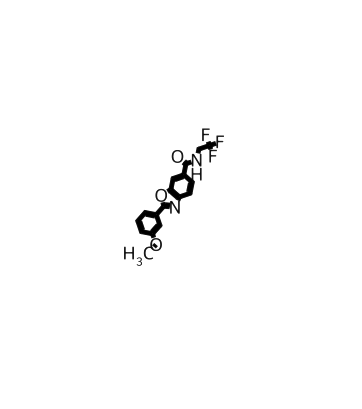 COc1cccc(-c2nc3ccc(C(=O)NCC(F)(F)F)cc3o2)c1